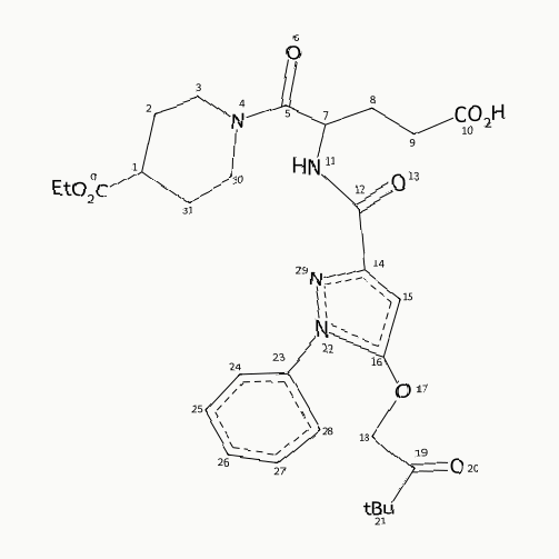 CCOC(=O)C1CCN(C(=O)C(CCC(=O)O)NC(=O)c2cc(OCC(=O)C(C)(C)C)n(-c3ccccc3)n2)CC1